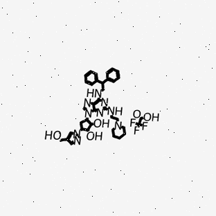 O=C(O)C(F)(F)F.OCc1cnn(C2CC(n3cnc4c(NCC(c5ccccc5)c5ccccc5)nc(NCCN5CCCCC5)nc43)C(O)C2O)c1